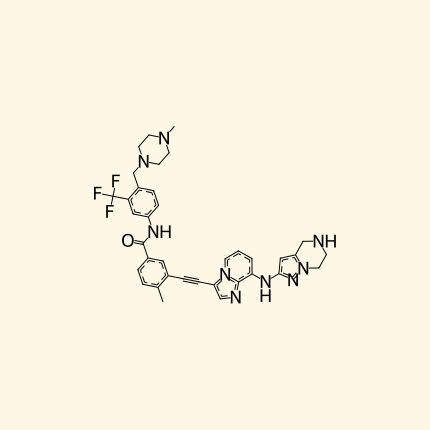 Cc1ccc(C(=O)Nc2ccc(CN3CCN(C)CC3)c(C(F)(F)F)c2)cc1C#Cc1cnc2c(Nc3cc4n(n3)CCNC4)cccn12